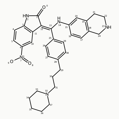 O=C1Nc2ccc([N+](=O)[O-])cc2C1=C(Nc1ccc2c(c1)CCNC2)c1ccc(CCCN2CCCCC2)cc1